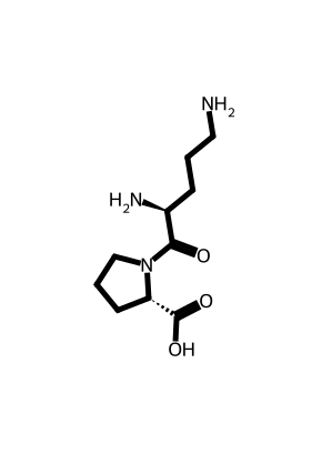 NCCC[C@H](N)C(=O)N1CCC[C@H]1C(=O)O